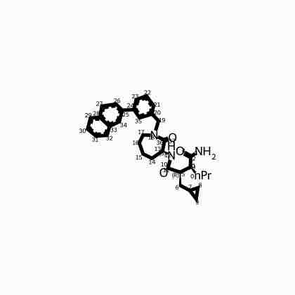 CCC[C@H](C(N)=O)[C@@H](CC1CC1)C(=O)N[C@H]1CCCCN(Cc2cccc(-c3ccc4ccccc4c3)c2)C1=O